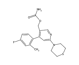 Cc1cc(F)ccc1-c1cc(N2CCSCC2)ncc1COC(N)=O